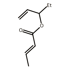 [CH2]CC(C=C)OC(=O)C=CC